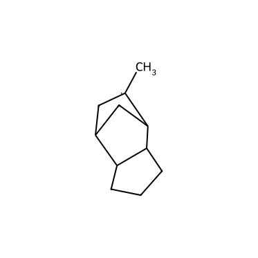 C[C]1CC2CC1C1CCCC21